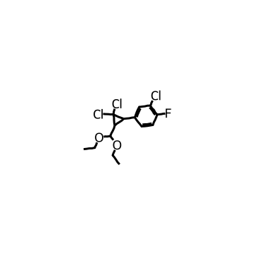 CCOC(OCC)C1C(c2ccc(F)c(Cl)c2)C1(Cl)Cl